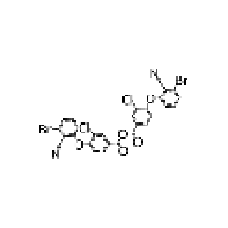 N#Cc1c(Br)cccc1Oc1ccc(C(=O)OC(=O)c2ccc(Oc3cccc(Br)c3C#N)c(Cl)c2)cc1Cl